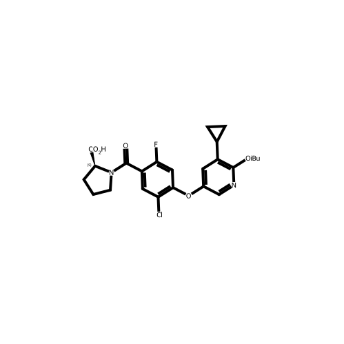 CC(C)COc1ncc(Oc2cc(F)c(C(=O)N3CCC[C@H]3C(=O)O)cc2Cl)cc1C1CC1